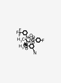 [C-]#[N+]C1=C(C)N(c2cccc(C(F)(F)F)c2)C(=O)N(S(=O)(=O)c2ccc(F)cc2)[C@@H]1c1ccc(C#N)cc1S(C)(=O)=O